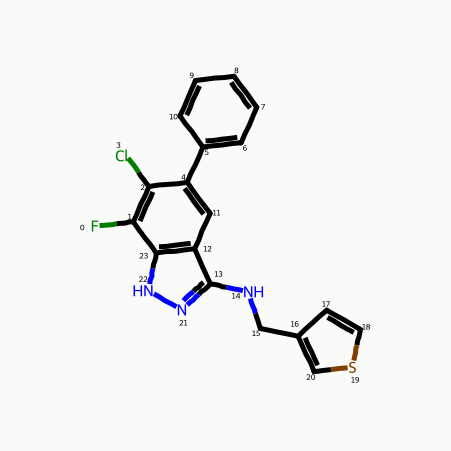 Fc1c(Cl)c(-c2ccccc2)cc2c(NCc3ccsc3)n[nH]c12